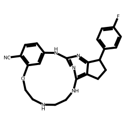 N#Cc1ccc2cc1OCCNCCNc1nc(nc3c1CCC3c1ccc(F)cc1)N2